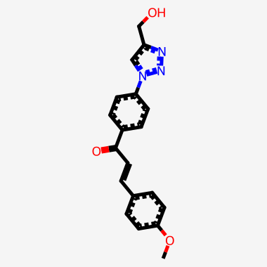 COc1ccc(C=CC(=O)c2ccc(-n3cc(CO)nn3)cc2)cc1